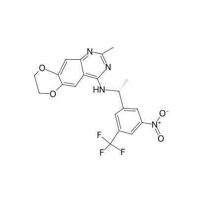 Cc1nc(N[C@H](C)c2cc([N+](=O)[O-])cc(C(F)(F)F)c2)c2cc3c(cc2n1)OCCO3